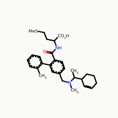 CSCCC(NC(=O)c1ccc(CN(C)C(C)C2C=CCCC2)cc1-c1ccccc1C)C(=O)O